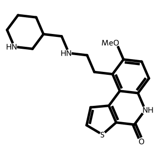 COc1ccc2[nH]c(=O)c3sccc3c2c1CCNCC1CCCNC1